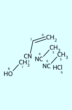 C=CC#N.CC#N.CC#N.CO.Cl